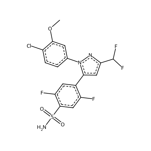 COc1cc(-n2nc(C(F)F)cc2-c2cc(F)c(S(N)(=O)=O)cc2F)ccc1Cl